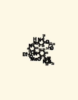 CCC(=O)c1cnc(Nc2ccc(OC3COC3)c(C)n2)cc1Nc1cccc(-c2ncn(C)n2)c1OC